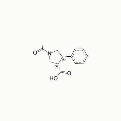 CC(=O)N1C[C@@H](C(=O)O)[C@H](c2ccccc2)C1